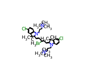 CC1(C)C(/C=C/C(Br)=C/C=C2/N(CCC[N+](C)(C)C)c3ccc(Cl)cc3C2(C)C)=[N+](CCC[N+](C)(C)C)c2ccc(Cl)cc21